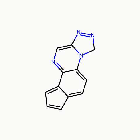 c1cc2ccc3c(ncc4n3CN=N4)c2c1